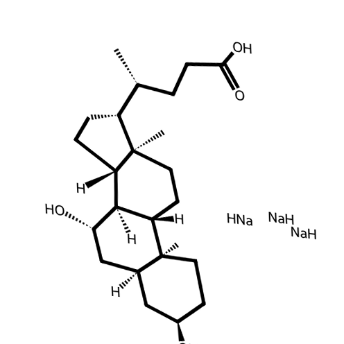 C[C@H](CCC(=O)O)[C@H]1CC[C@H]2[C@@H]3[C@@H](O)C[C@@H]4C[C@H](O)CC[C@]4(C)[C@H]3CC[C@]12C.[NaH].[NaH].[NaH]